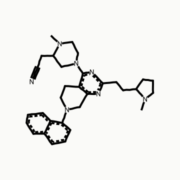 CN1CCCC1CCc1nc2c(c(N3CCN(C)C(CC#N)C3)n1)CCN(c1cccc3ccccc13)C2